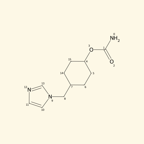 NC(=O)OC1CCC(Cn2ccnc2)CC1